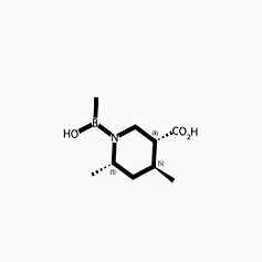 CB(O)N1C[C@H](C(=O)O)[C@@H](C)C[C@@H]1C